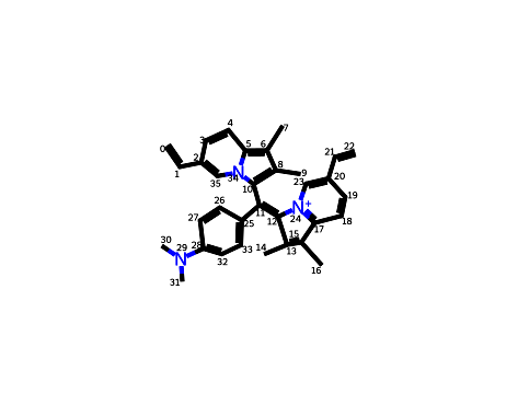 C=Cc1ccc2c(C)c(C)c(/C(=C3/C(C)=C(C)c4ccc(C=C)c[n+]43)c3ccc(N(C)C)cc3)n2c1